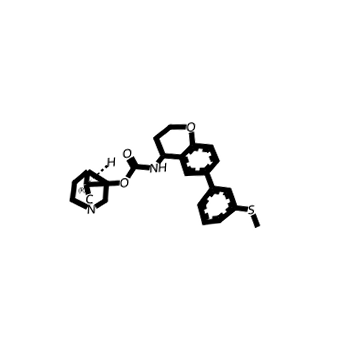 CSc1cccc(-c2ccc3c(c2)C(NC(=O)O[C@H]2CN4CCC2CC4)CCO3)c1